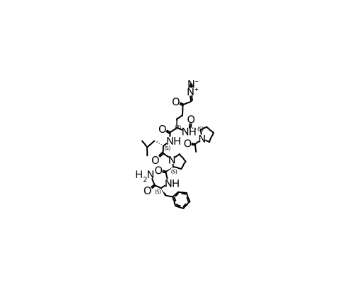 CC(=O)N1CCC[C@H]1C(=O)N[C@H](CCC(=O)C=[N+]=[N-])C(=O)N[C@@H](CC(C)C)C(=O)N1CCC[C@H]1C(=O)N[C@@H](Cc1ccccc1)C(N)=O